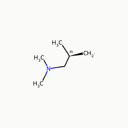 [CH2][C@H](C)CN(C)C